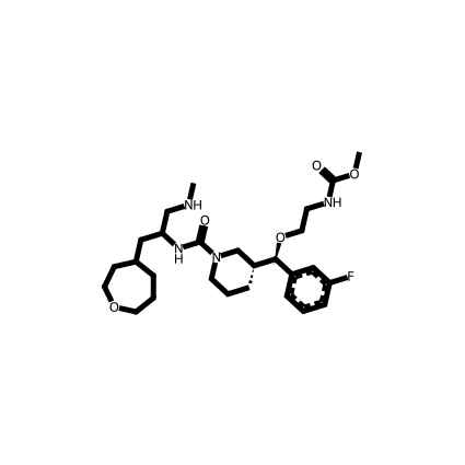 CNCC(CC1CCCOCC1)NC(=O)N1CCC[C@@H]([C@@H](OCCNC(=O)OC)c2cccc(F)c2)C1